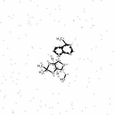 Cc1ncnc2c1ccn2[C@@H]1O[C@H](CO)[C@H]2OC(C)(C)O[C@H]21